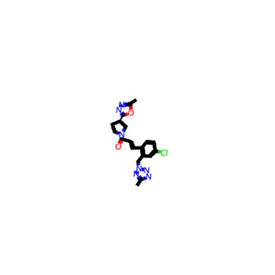 Cc1nnn(Cc2cc(Cl)ccc2C=CC(=O)N2CC[C@@H](c3nnc(C)o3)C2)n1